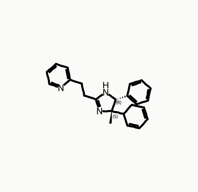 C[C@@]1(C2C=CC=CC2)N=C(CCc2ccccn2)N[C@@H]1c1ccccc1